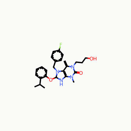 C=C1C2=C(NC(Oc3ccccc3C(C)C)N2Cc2ccc(F)cc2)N(C)C(=O)N1CCCO